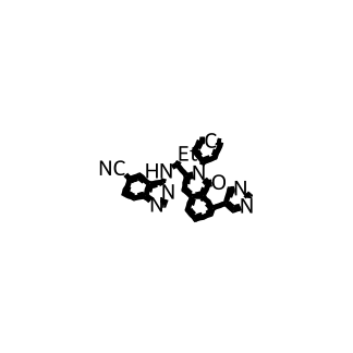 CCC(Nc1ncnc2ccc(C#N)cc12)c1cc2cccc(-c3cncnc3)c2c(=O)n1-c1ccccc1